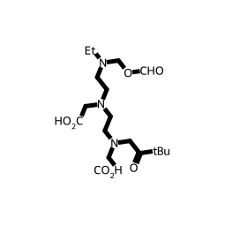 CCN(CCN(CCN(CC(=O)O)CC(=O)C(C)(C)C)CC(=O)O)COC=O